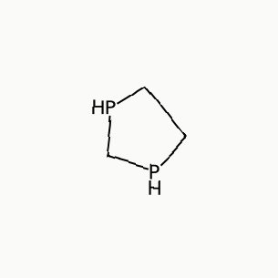 C1CPCP1